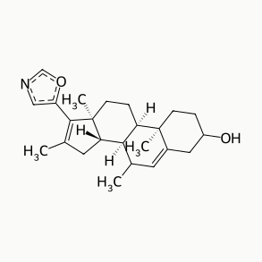 CC1=C(c2cnco2)[C@@]2(C)CC[C@@H]3[C@@H](C(C)C=C4CC(O)CC[C@@]43C)[C@@H]2C1